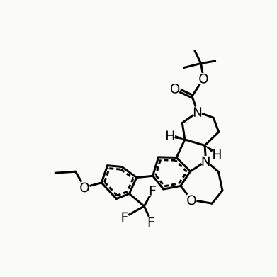 CCOc1ccc(-c2cc3c4c(c2)[C@@H]2CN(C(=O)OC(C)(C)C)CC[C@@H]2N4CCCO3)c(C(F)(F)F)c1